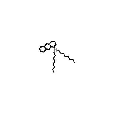 CCCCCCCCN(CCCCCCCC)c1cccc2cc3ccccc3cc12